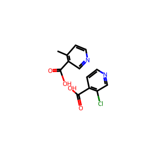 Cc1ccncc1C(=O)O.O=C(O)c1ccncc1Cl